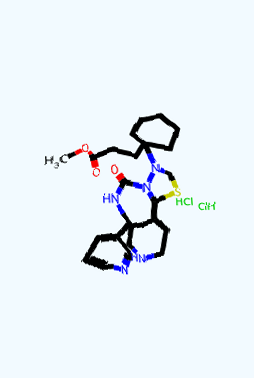 COC(=O)CCC1(N2CSC(C3CCNCC3)N2C(=O)NCc2cccnc2)CCCCC1.Cl.Cl